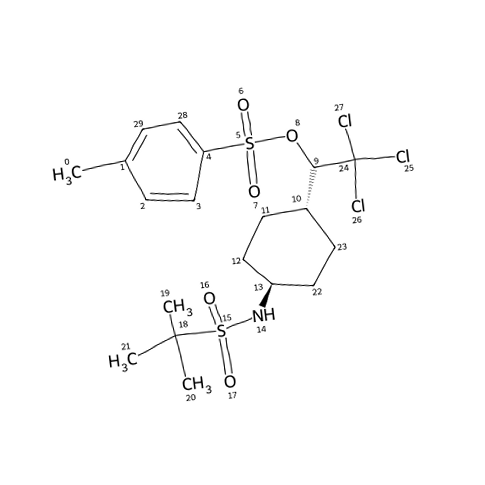 Cc1ccc(S(=O)(=O)OC([C@H]2CC[C@H](NS(=O)(=O)C(C)(C)C)CC2)C(Cl)(Cl)Cl)cc1